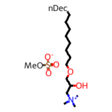 CCCCCCCCCCCCCCCCCCOCC(O)C[N+](C)(C)C.COS(=O)(=O)[O-]